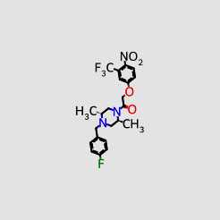 C[C@@H]1CN(C(=O)COc2ccc([N+](=O)[O-])c(C(F)(F)F)c2)[C@@H](C)CN1Cc1ccc(F)cc1